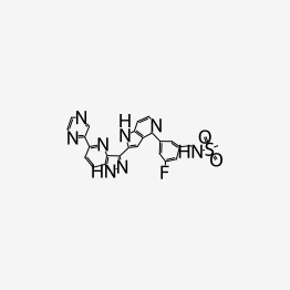 CS(=O)(=O)NCc1cc(F)cc(-c2nccc3[nH]c(-c4n[nH]c5ccc(-c6cnccn6)nc45)cc23)c1